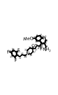 COc1ccc2ncc(CN)c([C@@H](F)CCC3(C(=O)O)CCN(CCCc4c(F)cc(F)cc4F)CC3)c2c1